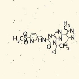 Cc1ncnc(C2CC2)c1-c1ncc2nc(NCc3ccc(S(C)(=O)=O)nc3)c(=O)n(C(C)C3CC3)c2n1